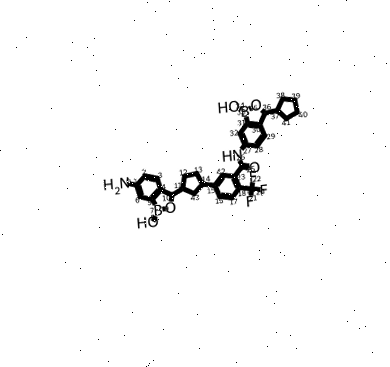 Nc1ccc2c(c1)B(O)OC2C1CCC(c2ccc(C(F)(F)F)c(C(=O)Nc3ccc4c(c3)B(O)OC4C3CCCC3)c2)C1